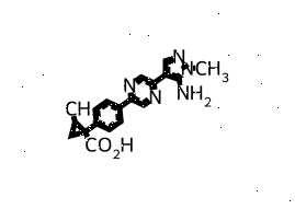 CC1CC1(C(=O)O)c1ccc(-c2cnc(-c3cnn(C)c3N)cn2)cc1